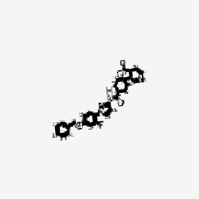 O=C1OC2(CCC(C(=O)Nc3ccn(-c4ccc(OCc5ccccc5)cc4F)n3)CC2)c2cnccc21